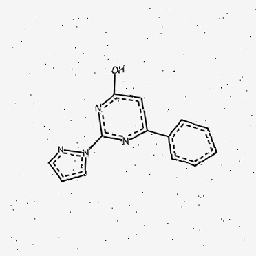 Oc1[c]c(-c2ccccc2)nc(-n2cccn2)n1